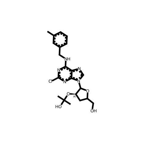 Cc1cccc(CNc2nc(Cl)nc3c2ncn3C2OC(CO)C[C@H]2OC(C)(C)O)c1